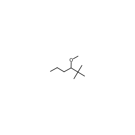 CCCC(OC)C(C)(C)C